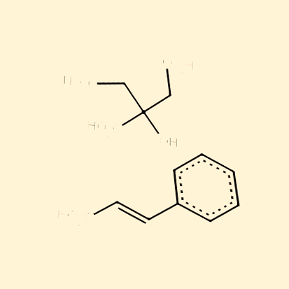 O=C(O)C=Cc1ccccc1.O=C(O)CC(O)(CC(=O)O)C(=O)O